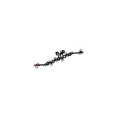 C=CC(=O)OCCCCCCOc1ccc(OC(=O)C2CCC(C(=O)Oc3ccc(OC(=O)C4CCC(C(=O)Oc5ccc(OCCCCCCOC(=O)C=C)cc5)CC4)c(/C=N/N(c4ccccn4)c4nc5ccccc5s4)c3)CC2)cc1